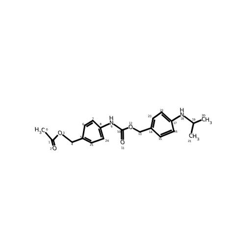 CC(=O)OCc1ccc(NC(=O)OCc2ccc(NC(C)C)cc2)cc1